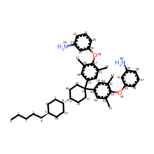 CCCCC[C@H]1CC[C@H](C2CCC(c3cc(C)c(Oc4cccc(N)c4)c(C)c3)(c3cc(C)c(Oc4cccc(N)c4)c(C)c3)CC2)CC1